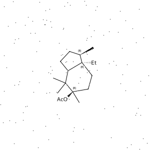 CC[C@]12CC[C@@](C)(OC(C)=O)C(C)(C)C1CC[C@H]2C